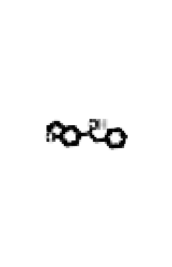 OC(Cc1ccccc1)c1ccc2occc2c1